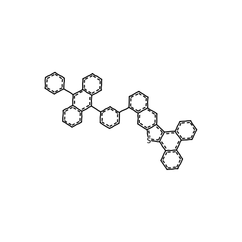 c1ccc(-c2c3ccccc3c(-c3cccc(-c4cccc5cc6c(cc45)sc4c5ccccc5c5ccccc5c64)c3)c3ccccc23)cc1